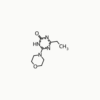 CCc1nc(N2CCOCC2)[nH]c(=O)n1